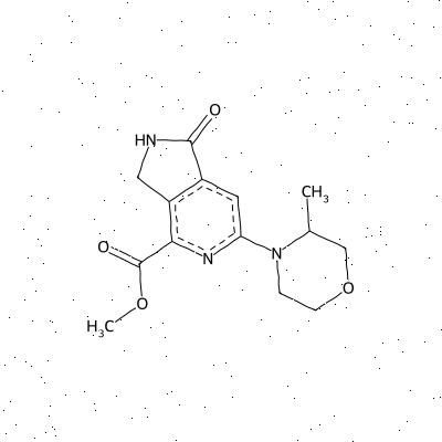 COC(=O)c1nc(N2CCOCC2C)cc2c1CNC2=O